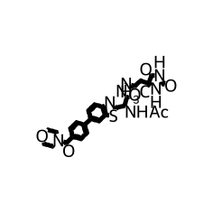 CC(=O)NC(c1nnc(CC2(C)NC(=O)NC2=O)o1)c1nc2ccc(-c3ccc(C(=O)N4CCOCC4)cc3)cc2s1